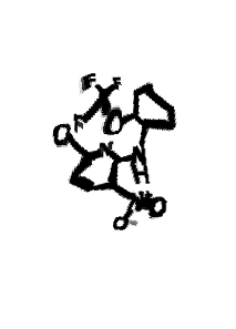 O=[N+]([O-])c1ccc(Cl)nc1Nc1ccccc1OC(F)(F)F